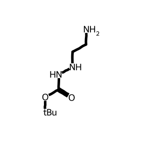 CC(C)(C)OC(=O)NNCCN